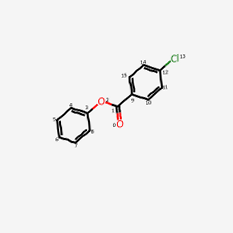 O=C(Oc1ccccc1)c1ccc(Cl)cc1